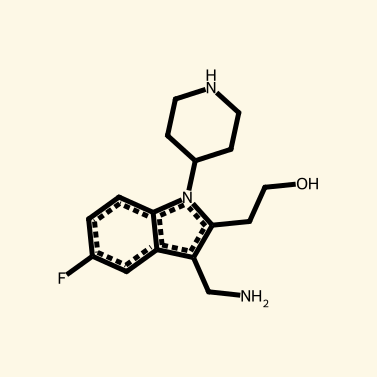 NCc1c(CCO)n(C2CCNCC2)c2ccc(F)cc12